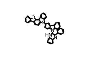 c1ccc(C2=Nc3ccccc3NC2n2c3ccccc3c3cc(-n4c5ccccc5c5c6oc7ccccc7c6ccc54)ccc32)cc1